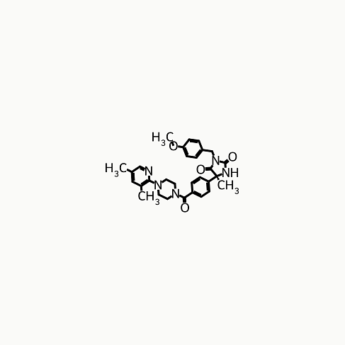 COc1ccc(CN2C(=O)N[C@](C)(c3ccc(C(=O)N4CCN(c5ncc(C)cc5C)CC4)cc3)C2=O)cc1